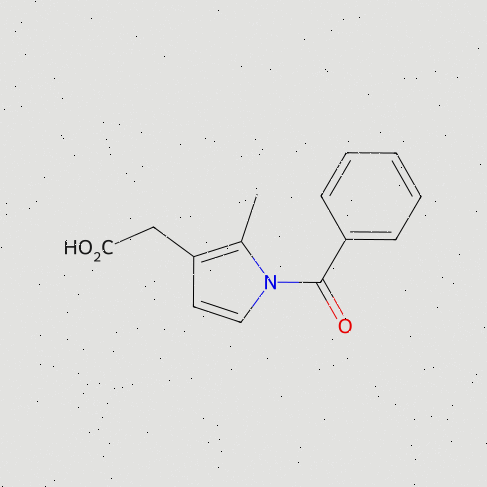 Cc1c(CC(=O)O)ccn1C(=O)c1ccccc1